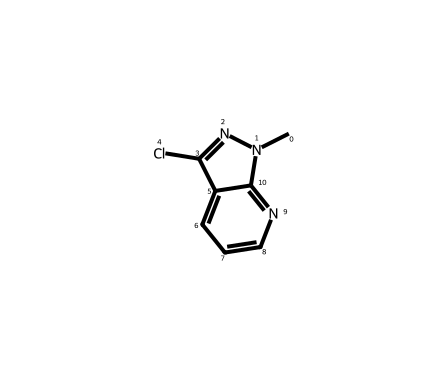 Cn1nc(Cl)c2cccnc21